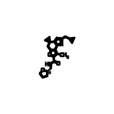 Cc1c(C(=O)NC[C@@H]2CCCO2)oc2c1-c1nn(CC3CC3)cc1C1(CC1)C2